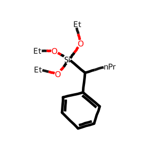 [CH2]CCC(c1ccccc1)[Si](OCC)(OCC)OCC